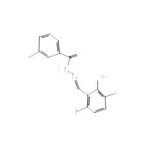 Cc1cccc(C(=O)N/N=C/c2c(Cl)ccc(Cl)c2O)c1